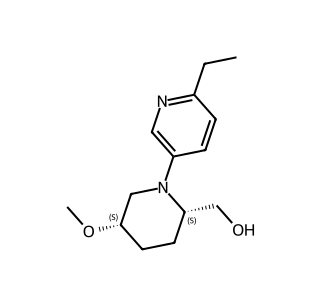 CCc1ccc(N2C[C@@H](OC)CC[C@H]2CO)cn1